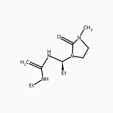 C=C(NCC)N[C@H](CC)N1CCN(C)C1=O